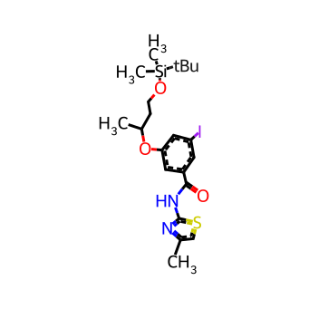 Cc1csc(NC(=O)c2cc(I)cc(OC(C)CCO[Si](C)(C)C(C)(C)C)c2)n1